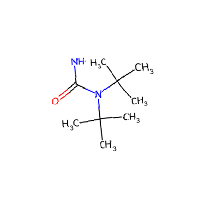 CC(C)(C)N(C([NH])=O)C(C)(C)C